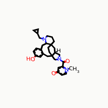 Cn1ccc(=O)cc1C(=O)N1C[C@H]2CC34CCCN(CC5CC5)C3Cc3ccc(O)cc3CC2C1CC4